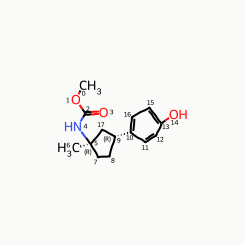 COC(=O)N[C@]1(C)CC[C@@H](c2ccc(O)cc2)C1